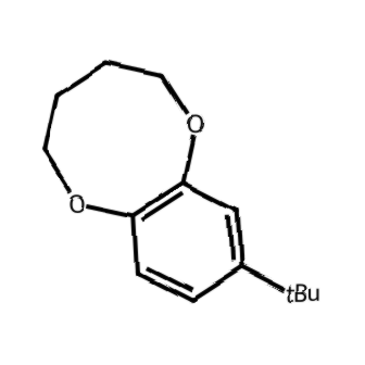 CC(C)(C)c1ccc2c(c1)OCCCCO2